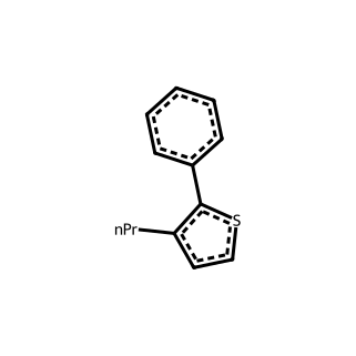 CCCc1ccsc1-c1ccccc1